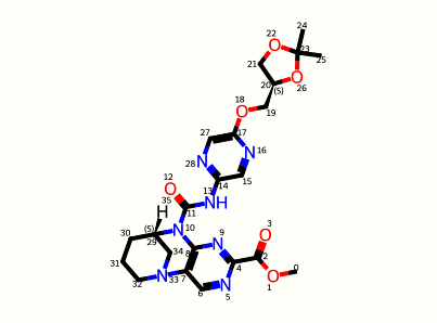 COC(=O)c1ncc2c(n1)N(C(=O)Nc1cnc(OC[C@H]3COC(C)(C)O3)cn1)[C@H]1CCCN2C1